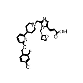 O=C(O)/C=C/c1cnc(CN2CCC(c3cccc(OCc4ccc(Cl)cc4F)n3)CC2)n1C[C@@H]1CCO1